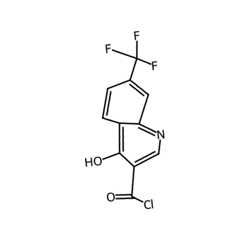 O=C(Cl)c1cnc2cc(C(F)(F)F)ccc2c1O